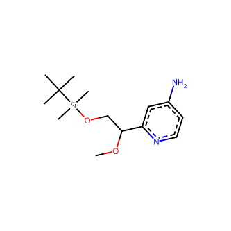 COC(CO[Si](C)(C)C(C)(C)C)c1cc(N)ccn1